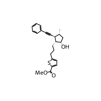 COC(=O)c1ccc(CCC[C@@H]2[C@@H](C#Cc3ccccc3)[C@H](C)C[C@@H]2O)s1